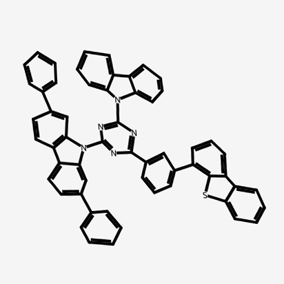 c1ccc(-c2ccc3c4ccc(-c5ccccc5)cc4n(-c4nc(-c5cccc(-c6cccc7c6sc6ccccc67)c5)nc(-n5c6ccccc6c6ccccc65)n4)c3c2)cc1